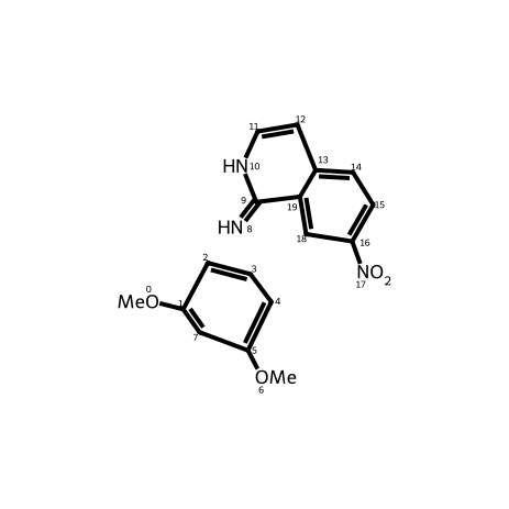 COc1cccc(OC)c1.N=c1[nH]ccc2ccc([N+](=O)[O-])cc12